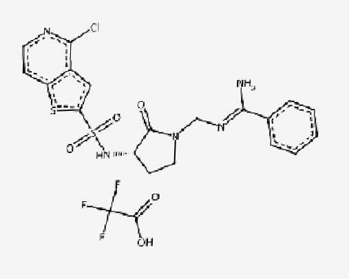 NC(=NCN1CC[C@H](NS(=O)(=O)c2cc3c(Cl)nccc3s2)C1=O)c1ccccc1.O=C(O)C(F)(F)F